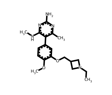 CCN1CC(COc2cc(-c3c(C)nc(N)nc3NC)ccc2OC)C1